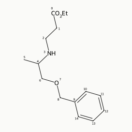 CCOC(=O)CCNC(C)COCc1ccccc1